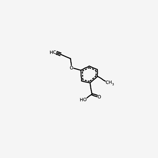 C#CCOc1ccc(C)c(C(=O)O)c1